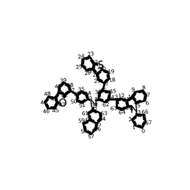 c1ccc(-n2c3ccccc3c3cc(-c4cc(-c5ccc6sc7ccccc7c6c5)cc(N(c5ccc(-c6cccc7c6oc6ccccc67)cc5)c5ccc6ccccc6c5)c4)ccc32)cc1